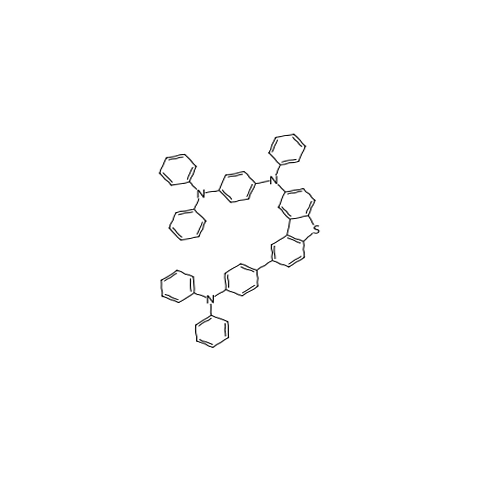 c1ccc(N(c2ccccc2)c2ccc(-c3ccc4sc5ccc(N(c6ccccc6)c6ccc(N(c7ccccc7)c7ccccc7)cc6)cc5c4c3)cc2)cc1